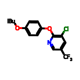 CCC(C)Oc1ccc(Oc2ncc(C(F)(F)F)cc2Cl)cc1